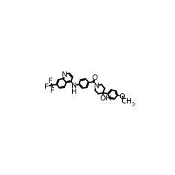 COc1ccc(C2(O)CCN(C(=O)c3ccc(Nc4ccnc5cc(C(F)(F)F)ccc45)cc3)CC2)cc1